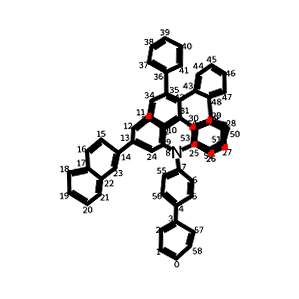 c1ccc(-c2ccc(N(c3cccc(-c4ccc5ccccc5c4)c3)c3ccccc3-c3cccc(-c4ccccc4)c3-c3ccccc3-c3ccccc3)cc2)cc1